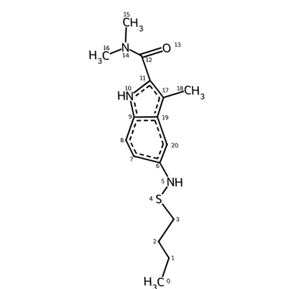 CCCCSNc1ccc2[nH]c(C(=O)N(C)C)c(C)c2c1